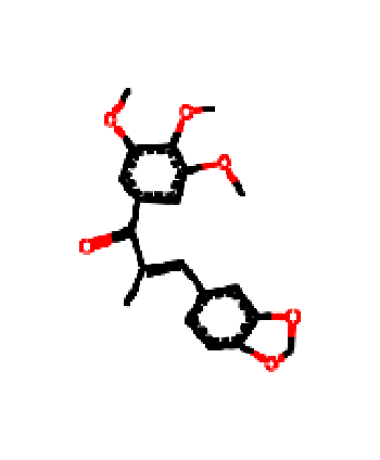 COc1cc(C(=O)/C(C)=C/c2ccc3c(c2)OCO3)cc(OC)c1OC